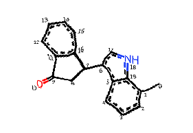 Cc1cccc2c(C3CC(=O)c4ccccc43)c[nH]c12